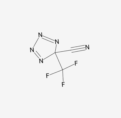 N#CC1(C(F)(F)F)N=NN=N1